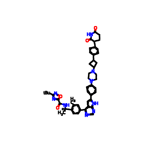 Cc1cc(-c2ncnc3[nH]c(-c4ccc(N5CCN(C6CC(c7ccc(C8CCC(=O)NC8=O)cc7)C6)CC5)cc4)cc23)ccc1[C@@H](C)NC(=O)c1nc(C(C)(C)C)no1